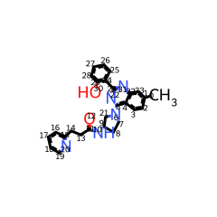 Cc1ccc2c(N3CCC(NC(=O)CCc4ccccn4)C3)nc(-c3ccccc3O)nc2c1